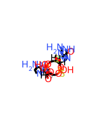 NC1=CC=NC2C1N=CN2[C@@H]1O[C@]23CO[C@@H]1[C@@H]2OP(=O)(O)OC[C@H]1S[C@@H](n2cnc4c(=O)[nH]c(N)nc42)[C@H](OP(O)(=S)OC3)[C@H]1F